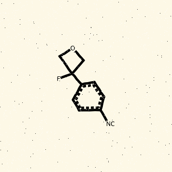 [C-]#[N+]c1ccc(C2(F)COC2)cc1